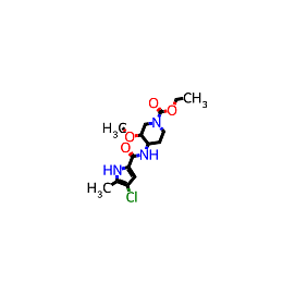 CCOC(=O)N1CCC(NC(=O)c2cc(Cl)c(C)[nH]2)C(OC)C1